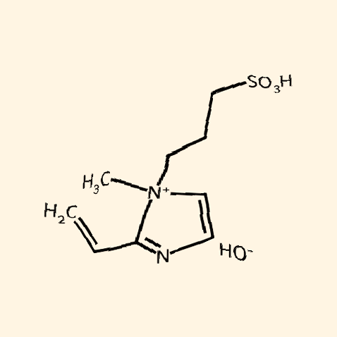 C=CC1=NC=C[N+]1(C)CCCS(=O)(=O)O.[OH-]